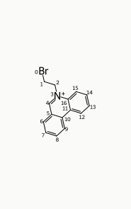 BrCC[n+]1cc2ccccc2c2ccccc21